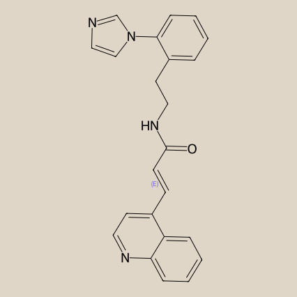 O=C(/C=C/c1ccnc2ccccc12)NCCc1ccccc1-n1ccnc1